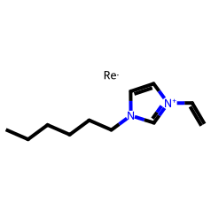 C=C[n+]1ccn(CCCCCC)c1.[Re]